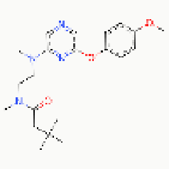 COc1ccc(Oc2cncc(N(C)CCN(C)C(=O)CC(C)(C)C)n2)cc1